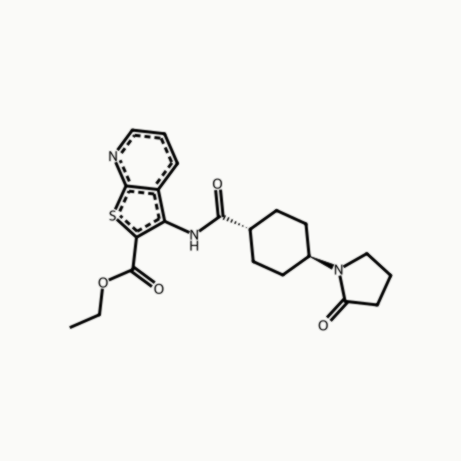 CCOC(=O)c1sc2ncccc2c1NC(=O)[C@H]1CC[C@H](N2CCCC2=O)CC1